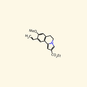 C=Cc1cc2c(cc1OC)CCn1cc(C(=O)OCC)cc1-2